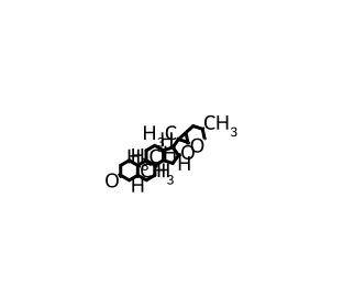 C[C@@H]1CO[C@]23O[C@H]4C[C@H]5[C@@H]6CC[C@@H]7CC(=O)CC[C@]7(C)[C@H]6CC[C@]5(C)[C@H]4[C@]2(C)C3C1